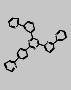 c1ccc(-c2ccc(-c3nc(-c4cccc(-c5ccccn5)n4)nc(-c4cccc(-c5ccccn5)n4)n3)cc2)nc1